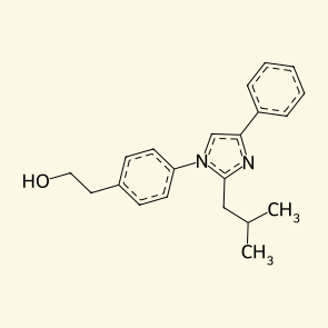 CC(C)Cc1nc(-c2ccccc2)cn1-c1ccc(CCO)cc1